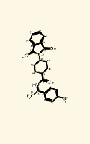 O=C(N[C@@H](c1ccc(Br)cc1)C(F)(F)F)C1CCC(N2C(=O)c3ccccc3C2=O)CC1